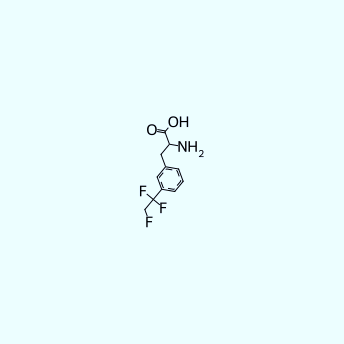 NC(Cc1cccc(C(F)(F)CF)c1)C(=O)O